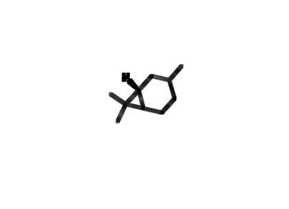 CC1CCC2[C@@H](C1)C2(C)C